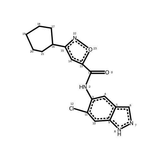 O=C(Nc1cc2cn[nH]c2cc1Cl)c1cc(C2CCCCC2)no1